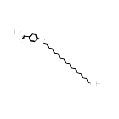 CCCCCCCCCCCCCCCCCCOc1ccc(C(=O)O)cc1